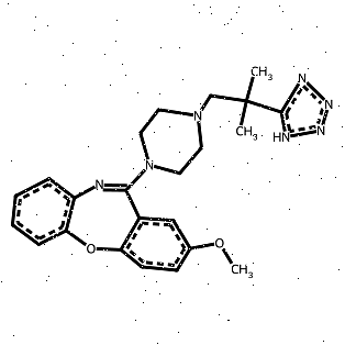 COc1ccc2c(c1)C(N1CCN(CC(C)(C)c3nnn[nH]3)CC1)=Nc1ccccc1O2